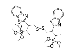 CO[Si](OC)(OC)C(C)C(CSSCC(c1nc2ccccc2s1)C(C)[Si](OC)(OC)OC)c1nc2ccccc2s1